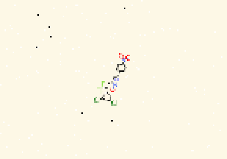 O=[N+]([O-])c1ccc(/C=C/C2=NOC(c3cc(Cl)cc(Cl)c3)(C(F)(F)F)C2)cc1